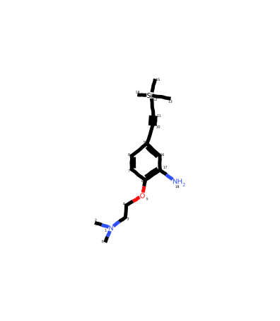 CN(C)CCOc1ccc(C#C[Si](C)(C)C)cc1N